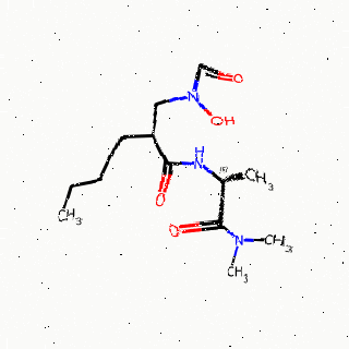 CCCCC(CN(O)C=O)C(=O)N[C@@H](C)C(=O)N(C)C